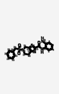 Nc1ccccc1NC(=O)c1nc2c(s1)CN(S(=O)(=O)Cc1ccccc1)CC2